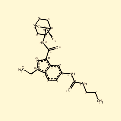 CCCNC(=O)Nc1ccc2c(c1)c(C(=O)N[C@@H]1CN3CCC1CC3)nn2CC